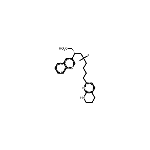 O=C(O)C[C@H](CC(F)(F)CCCCc1ccc2c(n1)NCCC2)c1cnc2ccccc2c1